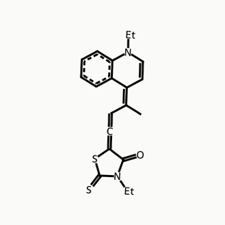 CCN1C(=O)C(=C=CC(C)=C2C=CN(CC)c3ccccc32)SC1=S